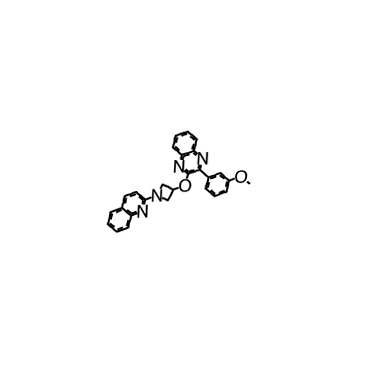 COc1cccc(-c2nc3ccccc3nc2OC2CN(c3ccc4ccccc4n3)C2)c1